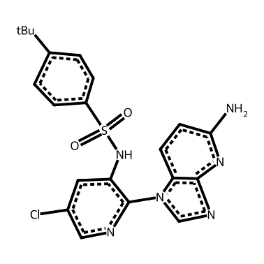 CC(C)(C)c1ccc(S(=O)(=O)Nc2cc(Cl)cnc2-n2cnc3nc(N)ccc32)cc1